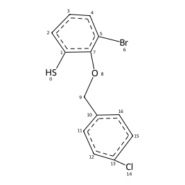 Sc1cccc(Br)c1OCc1ccc(Cl)cc1